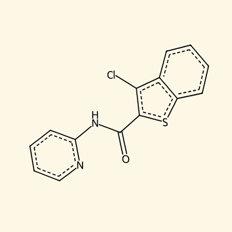 O=C(Nc1ccccn1)c1sc2ccccc2c1Cl